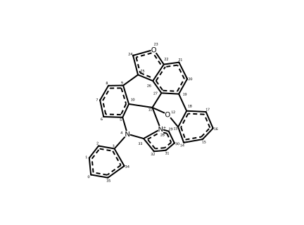 c1ccc(N2c3cccc4c3C3(Oc5ccccc5-c5ccc6occ-4c6c53)[n+]3ccccc32)cc1